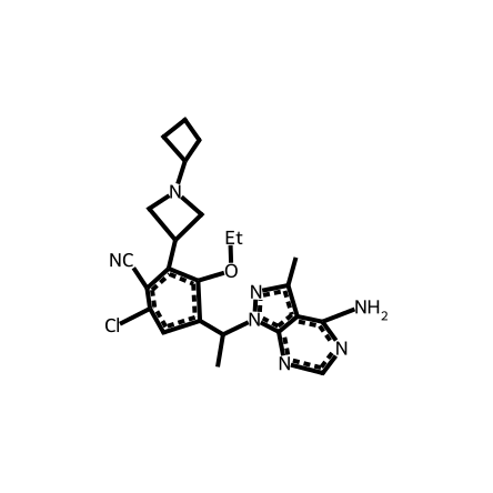 CCOc1c(C(C)n2nc(C)c3c(N)ncnc32)cc(Cl)c(C#N)c1C1CN(C2CCC2)C1